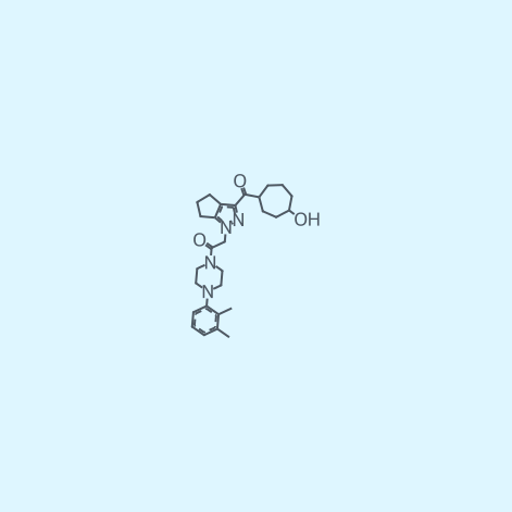 Cc1cccc(N2CCN(C(=O)Cn3nc(C(=O)C4CCCC(O)CC4)c4c3CCC4)CC2)c1C